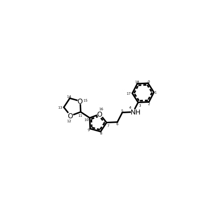 c1ccc(NCCc2ccc(C3OCCO3)o2)cc1